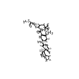 CC(=O)NCC1CCC(F)(F)CN1C(=O)c1nc(Nc2cc(-c3cnn4c3CCC4)c(F)cn2)ccc1C